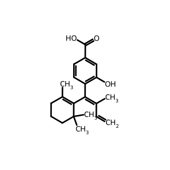 C=CC(C)=C(C1=C(C)CCCC1(C)C)c1ccc(C(=O)O)cc1O